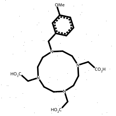 COc1cccc(CN2CCN(CC(=O)O)CCN(CC(=O)O)CCN(CC(=O)O)CC2)c1